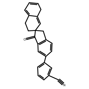 N#Cc1cccc(-c2ccc3c(c2)C(=O)C2(C=C4CC=CC=C4CC2)C3)c1